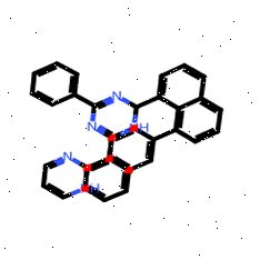 C1=CNC(c2ccc(-c3cccc4cccc(C5N=C(c6ccccc6)N=C(c6ccccc6)N5)c34)cc2)N=C1